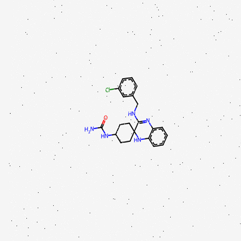 NC(=O)NC1CCC2(CC1)Nc1ccccc1N=C2NCc1cccc(Cl)c1